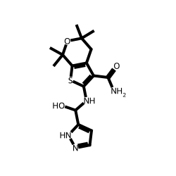 CC1(C)Cc2c(sc(NC(O)c3ccn[nH]3)c2C(N)=O)C(C)(C)O1